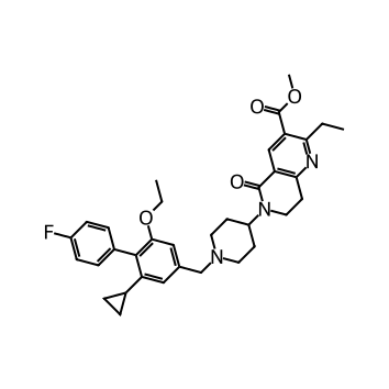 CCOc1cc(CN2CCC(N3CCc4nc(CC)c(C(=O)OC)cc4C3=O)CC2)cc(C2CC2)c1-c1ccc(F)cc1